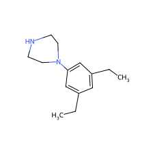 CCc1cc(CC)cc(N2CCNCC2)c1